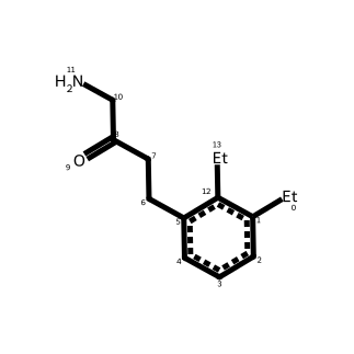 CCc1cccc(CCC(=O)CN)c1CC